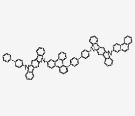 c1ccc(-c2ccc(-n3c4ccccc4c4cc5c(cc43)c3ccccc3n5-c3ccc4c(c3)c3ccccc3c3c(-c5ccc(-c6ccc(-n7c8ccccc8c8cc9c(cc87)c7ccccc7n9-c7ccc8c(ccc9ccccc98)c7)cc6)cc5)cccc43)cc2)cc1